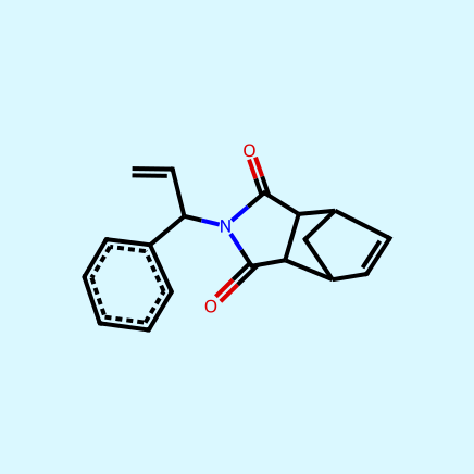 C=CC(c1ccccc1)N1C(=O)C2C3C=CC(C3)C2C1=O